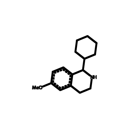 COc1ccc2c(c1)CCNC2C1CCCCC1